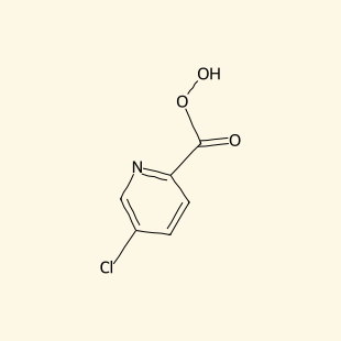 O=C(OO)c1ccc(Cl)cn1